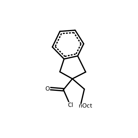 CCCCCCCCCC1(C(=O)Cl)Cc2ccccc2C1